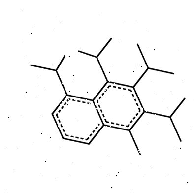 Cc1c(C(C)C)c(C(C)C)c(C(C)C)c2c(C(C)C)cccc12